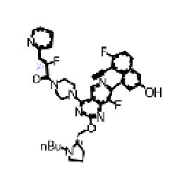 C#Cc1c(F)ccc2cc(O)cc(-c3ncc4c(N5CCN(C(=O)/C(F)=C/c6ccccn6)CC5)nc(OC[C@@H]5CCCN5CCCC)nc4c3F)c12